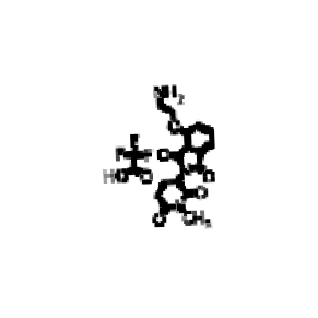 CN1C(=O)CCC(N2C(=O)c3cccc(OCCN)c3C2=O)C1=O.O=C(O)C(F)(F)F